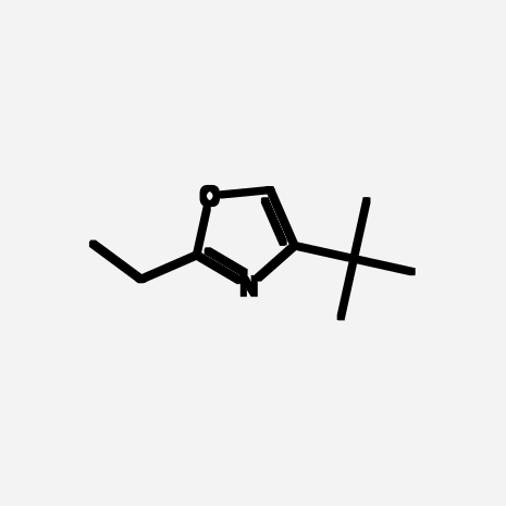 CCc1nc(C(C)(C)C)co1